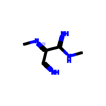 C/N=C(\C=N)C(=N)NC